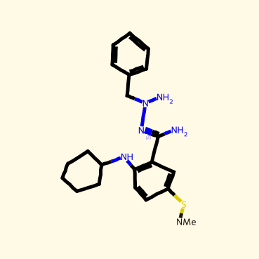 CNSc1ccc(NC2CCCCC2)c(/C(N)=N/N(N)Cc2ccccc2)c1